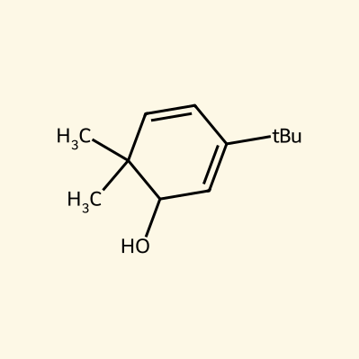 CC(C)(C)C1=CC(O)C(C)(C)C=C1